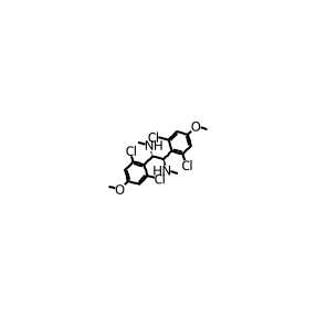 CN[C@H](c1c(Cl)cc(OC)cc1Cl)[C@@H](NC)c1c(Cl)cc(OC)cc1Cl